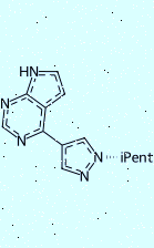 CCC[C@@H](C)n1cc(-c2ncnc3[nH]ccc23)cn1